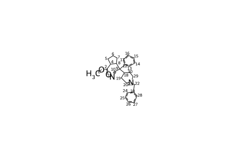 COC(=O)C1CCCC1C(C#N)(c1ccccc1)C1CCN(Cc2ccccc2)CC1